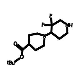 CC(C)(C)OC(=O)C1CCN(C2CCNCC2(F)F)CC1